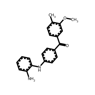 COc1cc(C(=O)c2ccc(Nc3ccccc3N)cc2)ccc1C